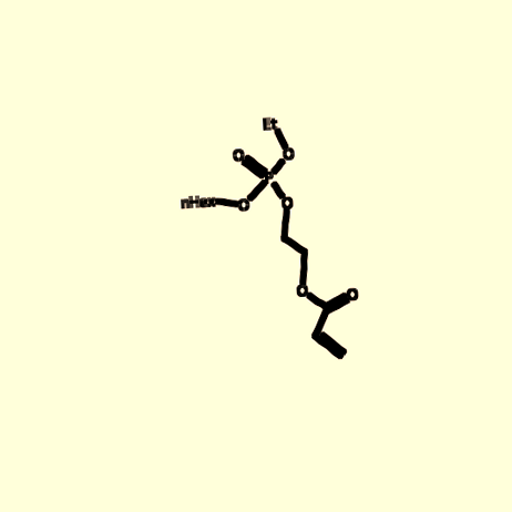 C=CC(=O)OCCOP(=O)(OCC)OCCCCCC